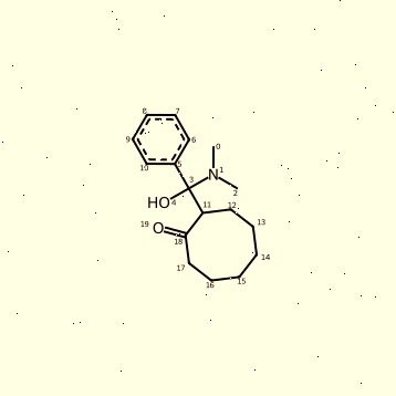 CN(C)C(O)(c1ccccc1)C1CCCCCCC1=O